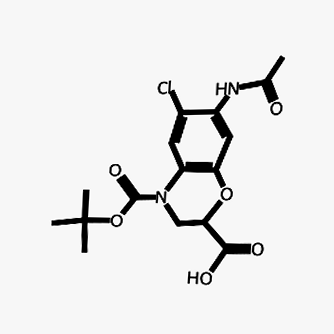 CC(=O)Nc1cc2c(cc1Cl)N(C(=O)OC(C)(C)C)CC(C(=O)O)O2